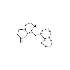 c1cnc2c(CN3NCCN4CCNCC43)cccc2c1